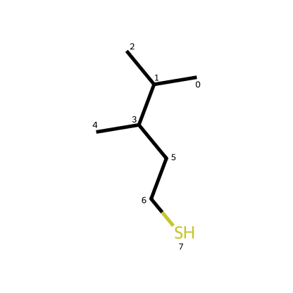 CC(C)C(C)CCS